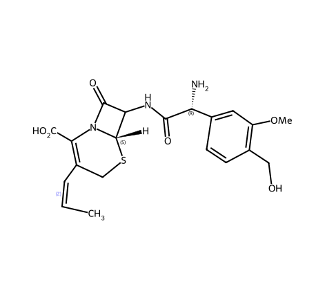 C/C=C\C1=C(C(=O)O)N2C(=O)C(NC(=O)[C@H](N)c3ccc(CO)c(OC)c3)[C@@H]2SC1